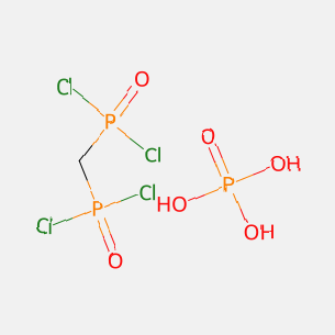 O=P(Cl)(Cl)CP(=O)(Cl)Cl.O=P(O)(O)O